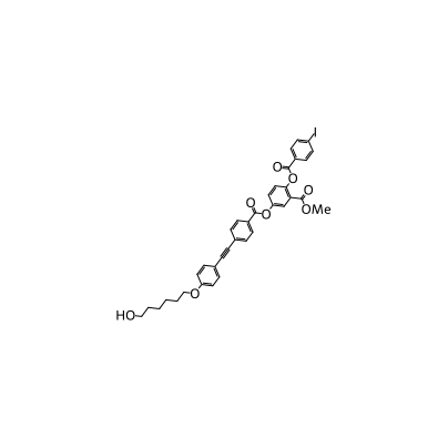 COC(=O)c1cc(OC(=O)c2ccc(C#Cc3ccc(OCCCCCCO)cc3)cc2)ccc1OC(=O)c1ccc(I)cc1